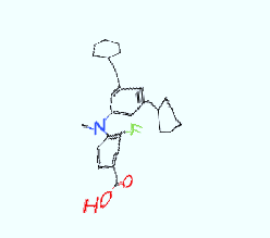 CN(c1cc(C2CCCCC2)cc(C2CCCCC2)c1)c1ccc(C(=O)O)cc1F